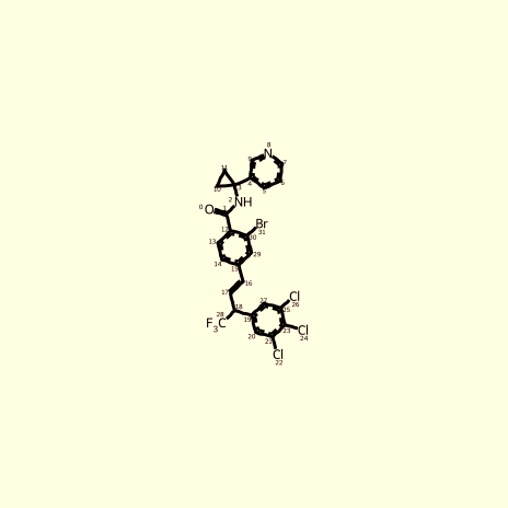 O=C(NC1(c2cccnc2)CC1)c1ccc(/C=C/C(c2cc(Cl)c(Cl)c(Cl)c2)C(F)(F)F)cc1Br